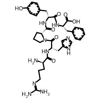 NC(N)=NCCC[C@@H](N)C(=O)N[C@@H](Cc1cnc[nH]1)C(=O)N1CCC[C@@H]1C(=O)N[C@H](Cc1ccc(O)cc1)C(=O)N[C@@H](Cc1ccccc1)C(=O)O